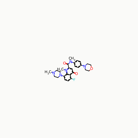 CN1CCN(c2ccc(F)c3c(=O)cc(C(=O)N(C)c4ccc(N5CCOCC5)cc4)n(C)c23)CC1